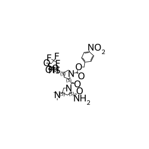 CN(C)[C@H]1C[C@@H](C(N)=O)N(C(=O)[C@@H]2C[C@H](S)CN2C(=O)OCc2ccc([N+](=O)[O-])cc2)C1.O=S(=O)(O)C(F)(F)F